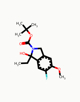 CCC1(O)c2cc(F)c(OC)cc2CN1C(=O)OC(C)(C)C